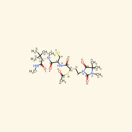 CNC(=O)[C@@H](N(C)C(=O)C(CS)NC(=O)[C@H](CCN1C(=O)N(C)C(C)(C)C1=O)SC(C)=O)C(C)(C)C